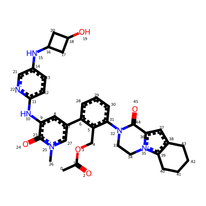 CC(=O)OCc1c(-c2cc(Nc3ccc(NC4CC(O)C4)cn3)c(=O)n(C)c2)cccc1N1CCn2c(cc3c2CCCC3)C1=O